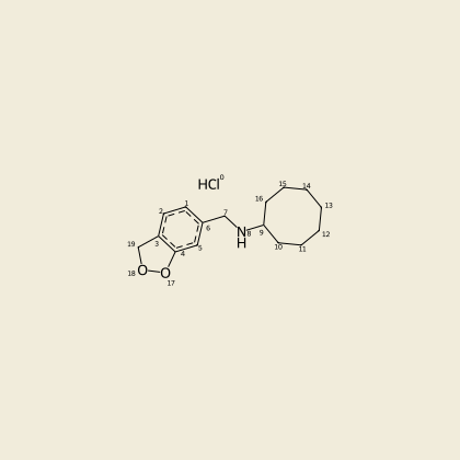 Cl.c1cc2c(cc1CNC1CCCCCCC1)OOC2